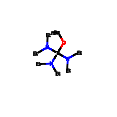 CCCC[O][Ti]([N](CC)CC)([N](CC)CC)[N](CC)CC